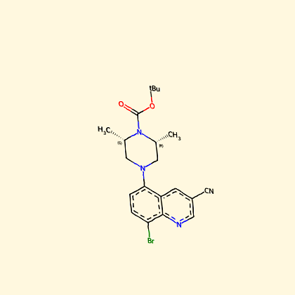 C[C@@H]1CN(c2ccc(Br)c3ncc(C#N)cc23)C[C@H](C)N1C(=O)OC(C)(C)C